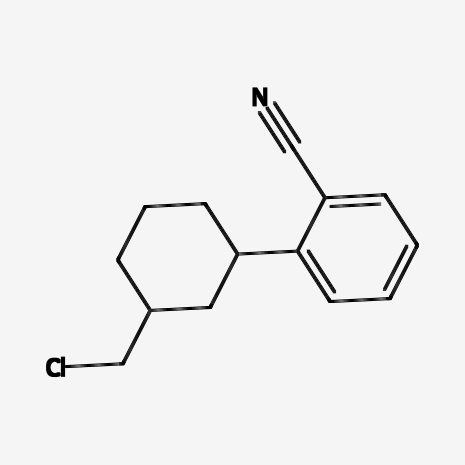 N#Cc1ccccc1C1CCCC(CCl)C1